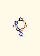 FC1(I)CCN(c2ccc3cc2OCCOCCOc2cccc(c2)-c2ccnc(n2)N3)CC1